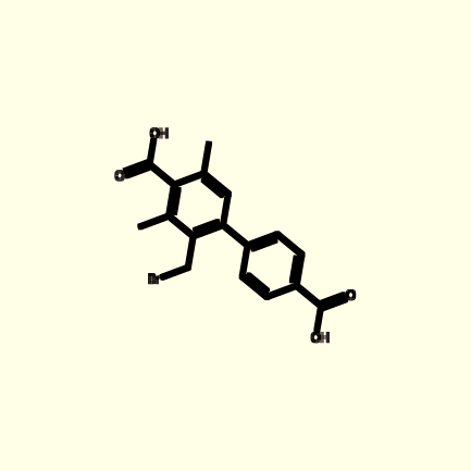 Cc1cc(-c2ccc(C(=O)O)cc2)c(CBr)c(C)c1C(=O)O